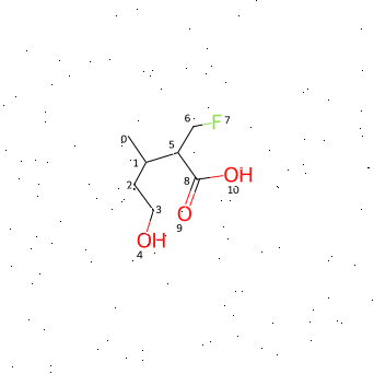 CC([CH]CO)C(CF)C(=O)O